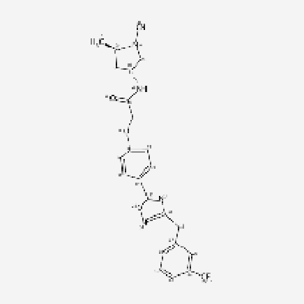 C[C@@H]1C[C@@H](NC(=O)COc2ccc(-c3nc(Cc4cccc(C(F)(F)F)c4)no3)cc2)CN1C#N